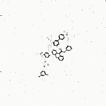 O=C(O)c1cc(Oc2nc(Cl)nc(Nc3cc(Nc4cc(Oc5ccc(-c6ccc(S(=O)(=O)O)cc6)cc5SOOO)c5[nH]c(=O)c(C(=O)c6cccc(SOOO)c6)c6c5c4C(=O)c4ccccc4-6)c(SOOO)cc3S(=O)(=O)O)n2)cc(C(=O)O)c1